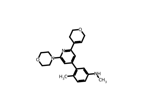 CNc1ccc(C)c(-c2cc(C3=CCOCC3)nc(N3CCOCC3)c2)c1